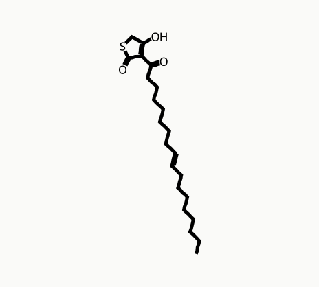 CCCCCCCCC=CCCCCCCCC(=O)C1=C(O)CSC1=O